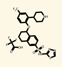 O=C(O)C(F)(F)F.O=S(=O)(Nc1nncs1)c1ccc2c(c1)CCCC2Oc1ccc(C(F)(F)F)cc1C1CCNCC1